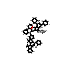 CCCCCCCC1(CCCCCCC)c2cc(N(c3ccc4c(c3)C(C)(C)c3c5c(c6oc7ccccc7c6c3-4)-c3ccccc3C5(C)C)c3ccccc3-c3ccccc3)ccc2-c2c1cc(-c1ccccc1)c1oc3ccccc3c21